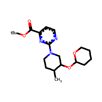 CC1CCN(c2nccc(C(=O)OC(C)(C)C)n2)CC1OC1CCCCO1